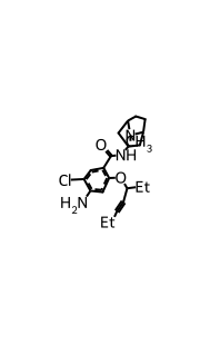 CCC#CC(CC)Oc1cc(N)c(Cl)cc1C(=O)NC1CC2CCC(C1)N2C